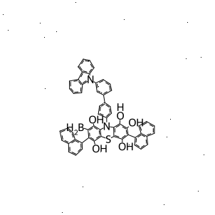 Bc1c(O)c2c(c(O)c1-c1cccc3ccccc13)Sc1c(O)c(-c3cccc4ccccc34)c(O)c(O)c1N2c1ccc(-c2cccc(-n3c4ccccc4c4ccccc43)c2)cc1